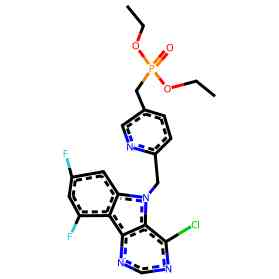 CCOP(=O)(Cc1ccc(Cn2c3cc(F)cc(F)c3c3ncnc(Cl)c32)nc1)OCC